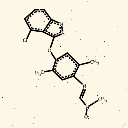 CCN(C)C=Nc1cc(C)c(Oc2snc3cccc(Cl)c23)cc1C